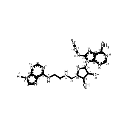 CCn1cnc2c(NCCNC[C@H]3O[C@@H](n4c(N=[N+]=[N-])nc5c(N)ncnc54)C(O)C3O)ncnc21